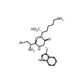 CC(C)C[C@H](N)C(=O)N[C@@H](Cc1c[nH]c2ccccc12)C(=O)N[C@@H](CCCCN)C(=O)O